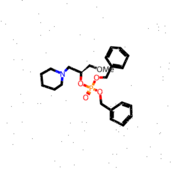 COC[C@H](CN1CCCCC1)OP(=O)(OCc1ccccc1)OCc1ccccc1